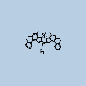 CCC1=Cc2c(-c3ccccc3C)c(C)cc(C)c2[CH]1[Zr+2]1([CH]2C(CC)=Cc3c(-c4ccccc4C)c(C)cc(C)c32)[CH2][CH2]1.[Cl-].[Cl-]